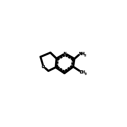 Cc1cc2c(nc1N)CCOC2